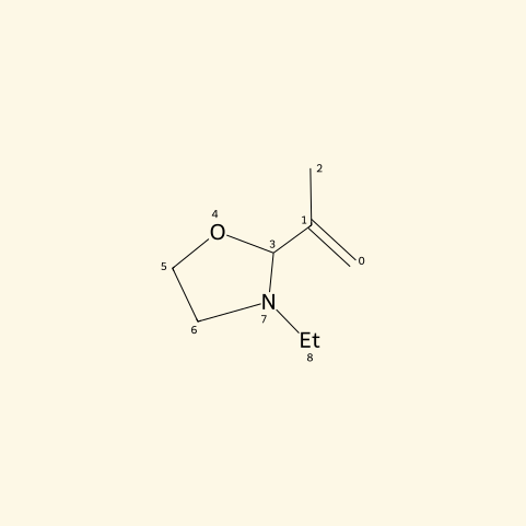 C=C(C)C1OCCN1CC